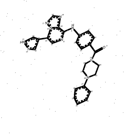 O=C(c1ccc(Nc2ncc(-c3cn[nH]c3)n3ncnc23)cc1)N1CCN(c2ccccc2)CC1